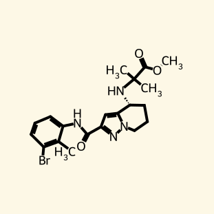 COC(=O)C(C)(C)N[C@@H]1CCCn2nc(C(=O)Nc3cccc(Br)c3C)cc21